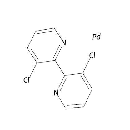 Clc1cccnc1-c1ncccc1Cl.[Pd]